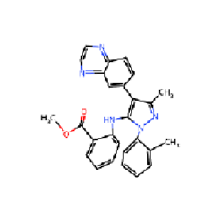 COC(=O)c1ccccc1Nc1c(-c2ccc3nccnc3c2)c(C)nn1-c1ccccc1C